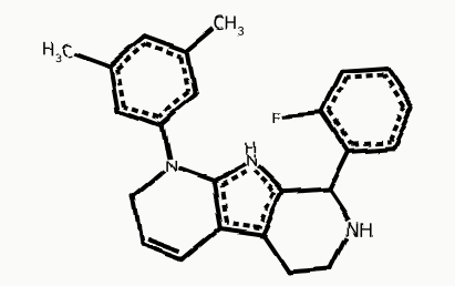 Cc1cc(C)cc(N2CC=Cc3c2[nH]c2c3CCNC2c2ccccc2F)c1